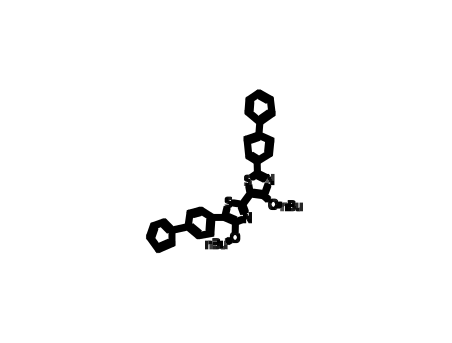 CCCCOc1nc(-c2sc(-c3ccc(-c4ccccc4)cc3)nc2OCCCC)sc1-c1ccc(-c2ccccc2)cc1